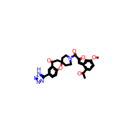 COc1ccc(C(C)=O)c2cc(C(=O)N3CCC4(CC3)CC(=O)c3cc(-c5nnn[nH]5)ccc3O4)oc12